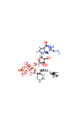 CNc1ccccc1C(=O)OP(=O)(OC[C@H]1O[C@@H](n2cnc3c(=O)[nH]c(N)nc32)[C@H](O)[C@@H]1O)OP(=O)([O-])OP(=O)([O-])[O-].[Na+].[Na+].[Na+]